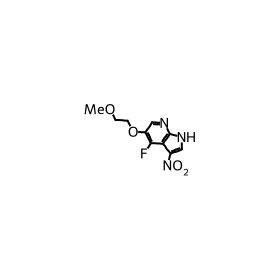 COCCOc1cnc2[nH]cc([N+](=O)[O-])c2c1F